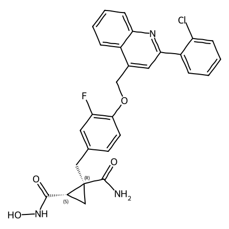 NC(=O)[C@@]1(Cc2ccc(OCc3cc(-c4ccccc4Cl)nc4ccccc34)c(F)c2)C[C@@H]1C(=O)NO